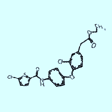 CCOC(=O)Cc1ccc(Oc2ccc(NC(=O)c3ccc(Cl)s3)cc2)c(Cl)c1